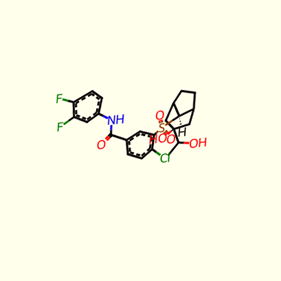 CC(O)[C@]1(O)CC2CCC(C1)[C@H]2S(=O)(=O)c1cc(C(=O)Nc2ccc(F)c(F)c2)ccc1Cl